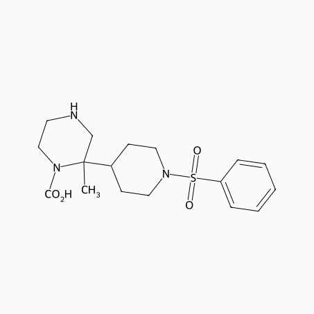 CC1(C2CCN(S(=O)(=O)c3ccccc3)CC2)CNCCN1C(=O)O